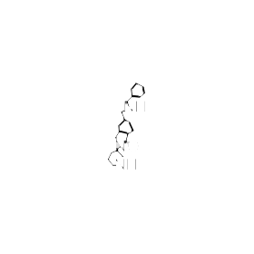 O=C1c2ccc(CNCc3ccccc3)cc2CN1C1CCCNC1